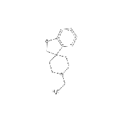 CCN1CCC2(CC1)COc1ccccc12